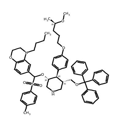 CCCCN1CCOc2ccc(C(O[C@H]3CNC[C@@H](COC(c4ccccc4)(c4ccccc4)c4ccccc4)[C@@H]3c3ccc(OCCC[C@@H](C)OC)cc3)S(=O)(=O)c3ccc(C)cc3)cc21